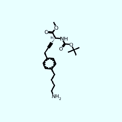 COC(=O)[C@@H](C#CCc1ccc(CCCCN)cc1)NC(=O)OC(C)(C)C